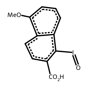 COc1cccc2c(I=O)c(C(=O)O)ccc12